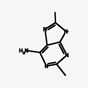 CC1=Nc2c(N)nc(C)nc2[N]1